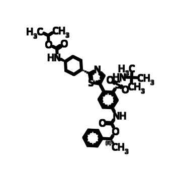 CC(C)OC(=O)N[C@H]1CC[C@H](c2ncc(-c3ccc(NC(=O)O[C@H](C)c4ccccc4)cc3S(=O)(=O)NC(C)(C)C)s2)CC1